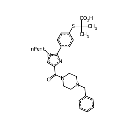 CCCCCn1cc(C(=O)N2CCN(Cc3ccccc3)CC2)nc1-c1ccc(SC(C)(C)C(=O)O)cc1